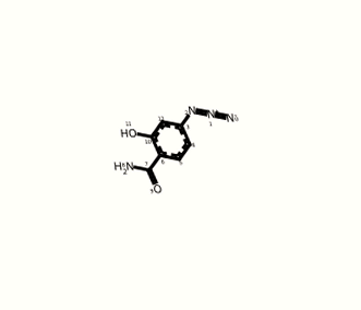 [N-]=[N+]=Nc1ccc(C(N)=O)c(O)c1